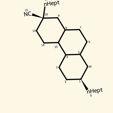 CCCCCCC[C@H]1CCC2C(CCC3C[C@@](C#N)(CCCCCCC)CCC32)C1